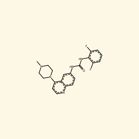 CN1CCN(c2ccnc3ccc(NC(=O)Nc4c(F)cccc4F)cc23)CC1